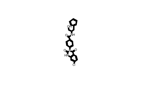 O=C(NC(CO)Cc1ccccc1)c1ccc(-n2c(=O)[nH]c3cc(Cl)ccc3c2=O)cc1